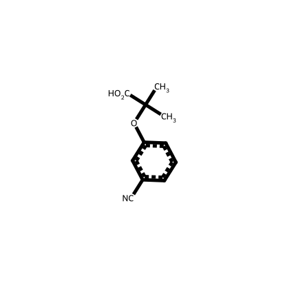 CC(C)(Oc1cccc(C#N)c1)C(=O)O